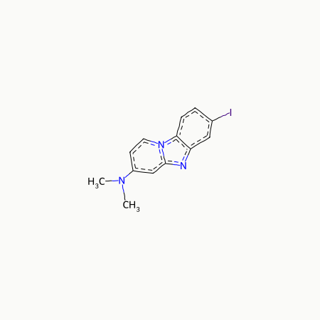 CN(C)c1ccn2c(c1)nc1cc(I)ccc12